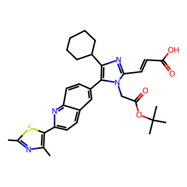 Cc1nc(C)c(-c2ccc3cc(-c4c(C5CCCCC5)nc(C=CC(=O)O)n4CC(=O)OC(C)(C)C)ccc3n2)s1